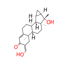 C[C@]12C/C(=C/O)C(=O)C=C1CC[C@H]1[C@@H]3[C@H]4C[C@H]4[C@](C)(O)[C@@]3(C)CC[C@@H]12